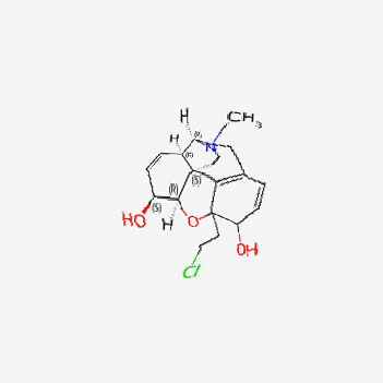 CN1CC[C@]23C4=C5C=CC(O)C4(CCCl)O[C@H]2[C@@H](O)C=C[C@H]3[C@H]1C5